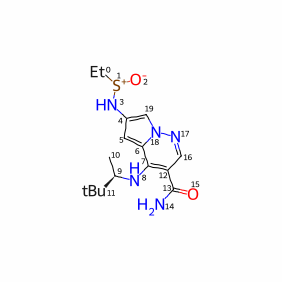 CC[S+]([O-])Nc1cc2c(N[C@H](C)C(C)(C)C)c(C(N)=O)cnn2c1